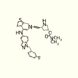 CN(C)C(=O)O[C@@H]1CN[C@H](C#CN2C=C(Nc3ccc4c(cnn4Cc4cccc(F)c4)c3)c3ccsc3C2)C1